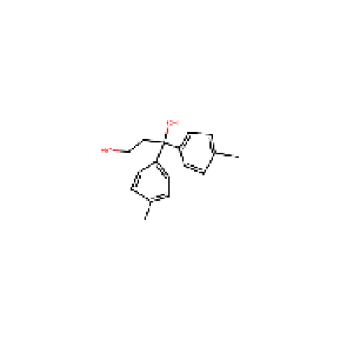 Cc1ccc(C(O)(CCO)c2ccc(C)cc2)cc1